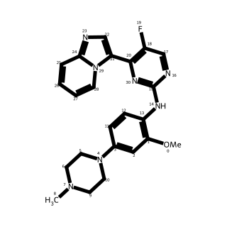 COc1cc(N2CCN(C)CC2)ccc1Nc1ncc(F)c(-c2cnc3ccccn23)n1